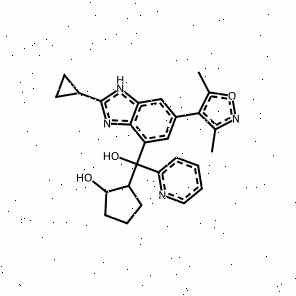 Cc1noc(C)c1-c1cc(C(O)(c2ccccn2)C2CCCC2O)c2nc(C3CC3)[nH]c2c1